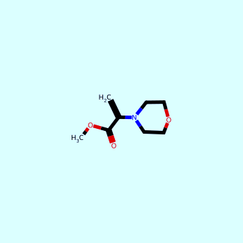 C=C(C(=O)OC)N1CCOCC1